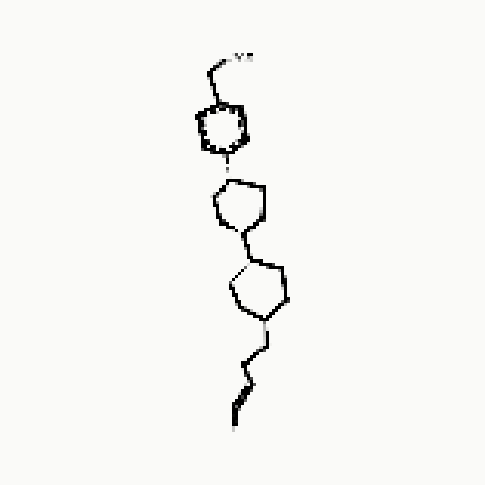 COCc1ccc([C@H]2CC[C@H]([C@H]3CC[C@H](CC/C=C/F)CC3)CC2)cc1